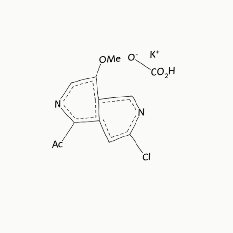 COc1cnc(C(C)=O)c2cc(Cl)ncc12.O=C([O-])O.[K+]